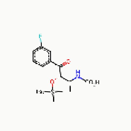 C[C@H](NC(=O)O)[C@H](O[Si](C)(C)C(C)(C)C)C(=O)c1cccc(F)c1